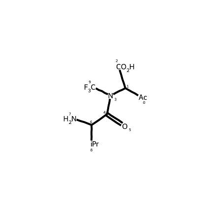 CC(=O)C(C(=O)O)N(C(=O)C(N)C(C)C)C(F)(F)F